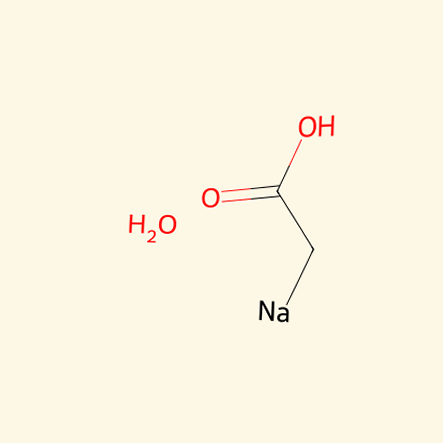 O.O=C(O)[CH2][Na]